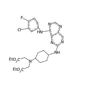 CCOC(=O)CN(CC(=O)OCC)C1CCC(Nc2ncc3ncnc(Nc4ccc(F)c(Cl)c4)c3n2)CC1